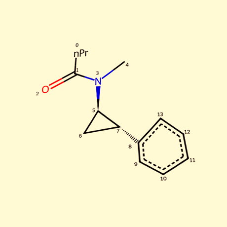 CCCC(=O)N(C)[C@@H]1C[C@H]1c1ccccc1